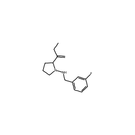 C=C(CC)C1CCCN1NCc1cccc(F)c1